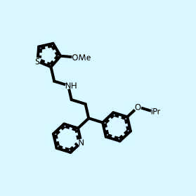 COc1ccsc1CNCCC(c1cccc(OC(C)C)c1)c1ccccn1